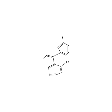 CC=C(c1cccc(C)c1)c1ccccc1CC